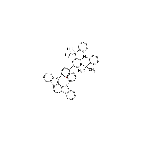 CC1(C)c2ccccc2N2c3ccccc3C(C)(C)c3cc(-c4ccc(-n5c6ccccc6c6ccc7c8ccccc8n(-c8ccccc8)c7c65)cc4)cc1c32